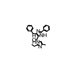 CCc1nc(C)c[nH]1.OCc1[nH]c(-c2ccccc2)nc1Cc1ccccc1